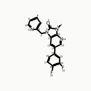 Cn1c(=O)n(Cc2ccccn2)c2cc(-c3ccc(F)c(F)c3)cnc21